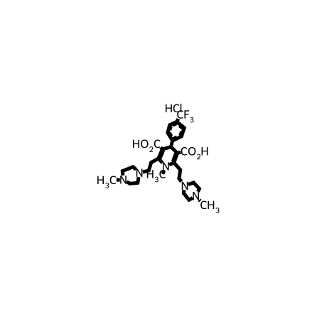 CN1CCN(CCC2=C(C(=O)O)C(c3ccc(C(F)(F)F)cc3)C(C(=O)O)=C(CCN3CCN(C)CC3)N2C)CC1.Cl